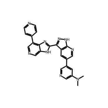 CN(C)c1cncc(-c2cnc3[nH]nc(-c4nc5c(-c6ccncc6)cncc5[nH]4)c3c2)c1